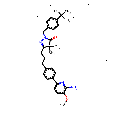 COc1ccc(-c2ccc(CCCC3=NN(Cc4ccc(C(C)(C)C)cc4)C(=O)C3(C)C)cc2)nc1N